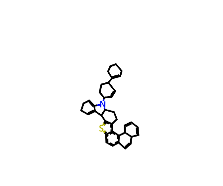 C1=CC2C=Cc3ccc4sc5c(c4c3C2C=C1)CCC1C5C2=CCCC=C2N1C1C=CC(C2=CCCCC2)CC1